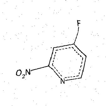 O=[N+]([O-])c1[c]c(F)ccn1